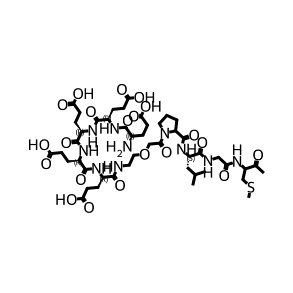 CSCC(NC(=O)CNC(=O)[C@H](CC(C)C)NC(=O)C1CCCN1C(=O)COCCNC(=O)[C@@H](CCC(=O)O)NC(=O)[C@@H](CCC(=O)O)NC(=O)[C@@H](CCC(=O)O)NC(=O)[C@@H](CCC(=O)O)NC(=O)[C@H](N)CCC(=O)O)C(C)=O